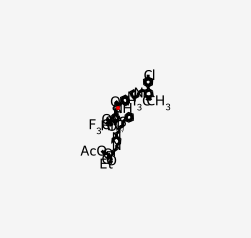 CCOP(=O)(CCCN1CCN(CC[C@H](CSc2ccccc2)Nc2ccc(SNC(=O)c3ccc(N4CCN(CC5=C(c6ccc(Cl)cc6)CCC(C)(C)C5)CC4)cc3)cc2S(=O)(=O)C(F)(F)F)CC1)OCOC(C)=O